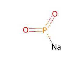 O=[P](=O)[Na]